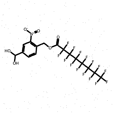 O=C(OCc1ccc(C(O)O)cc1[N+](=O)[O-])C(F)(F)C(F)(F)C(F)(F)C(F)(F)C(F)(F)C(F)(F)C(F)(F)F